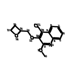 COc1nc2cc[c]cc2c(Cl)c1OCC1CCO1